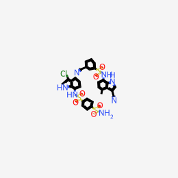 Cc1ccc(NS(=O)(=O)c2cccc(C#N)c2)c2[nH]cc(C#N)c12.NS(=O)(=O)c1ccc(S(=O)(=O)Nc2cccc3c(Cl)c[nH]c23)cc1